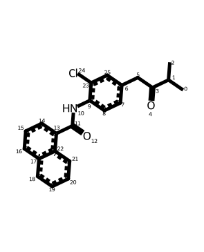 CC(C)C(=O)Cc1ccc(NC(=O)c2cccc3ccccc23)c(Cl)c1